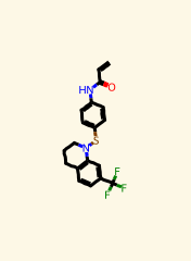 C=CC(=O)Nc1ccc(SN2CCCc3ccc(C(F)(F)F)cc32)cc1